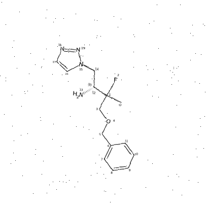 CC(F)(COCc1ccccc1)[C@H](N)Cn1ccnn1